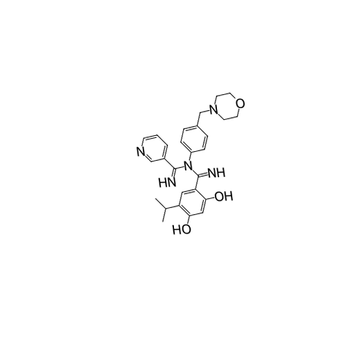 CC(C)c1cc(C(=N)N(C(=N)c2cccnc2)c2ccc(CN3CCOCC3)cc2)c(O)cc1O